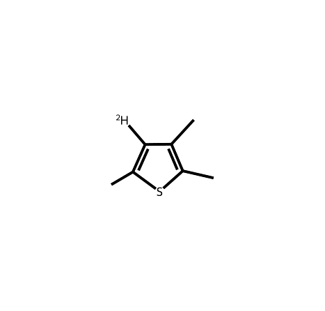 [2H]c1c(C)sc(C)c1C